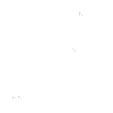 NCc1ccc(-c2nc3cccnc3cc2-c2ccccc2)cc1